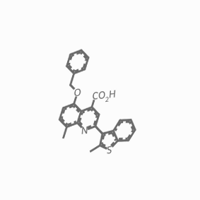 Cc1sc2ccccc2c1-c1cc(C(=O)O)c2c(OCc3ccccc3)ccc(C)c2n1